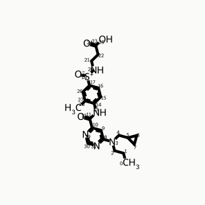 CCCN(CC1CC1)c1cc(C(=O)Nc2ccc([S+]([O-])NCCC(=O)O)cc2C)ncn1